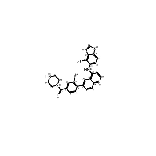 O=C(c1ccc(-c2ccc3nccc(Nc4ccc5scnc5c4F)c3c2)c(F)c1)N1CCNCC1